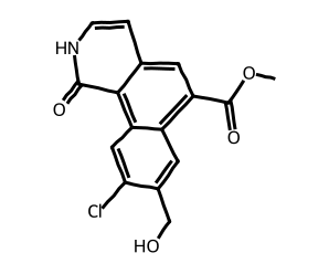 COC(=O)c1cc2cc[nH]c(=O)c2c2cc(Cl)c(CO)cc12